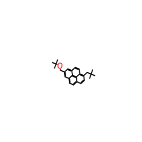 CC(C)(C)Cc1ccc2ccc3cc(COC(C)(C)C)cc4ccc1c2c34